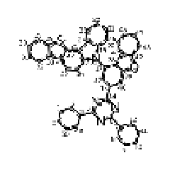 c1ccc(-c2nc(-c3ccccc3)nc(-c3cc(-n4c5ccccc5c5c6sc7ccccc7c6ccc54)c4c(c3)oc3ccccc34)n2)cc1